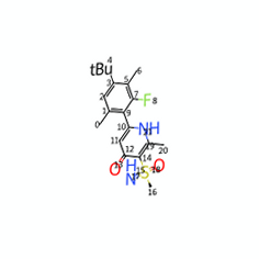 Cc1cc(C(C)(C)C)c(C)c(F)c1-c1cc(=O)c([S@@](C)(=N)=O)c(C)[nH]1